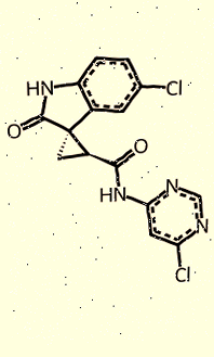 O=C(Nc1cc(Cl)ncn1)[C@H]1C[C@@]12C(=O)Nc1ccc(Cl)cc12